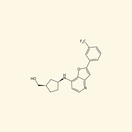 OC[C@@H]1CC[C@H](Nc2ccnc3cc(-c4cccc(C(F)(F)F)c4)oc23)C1